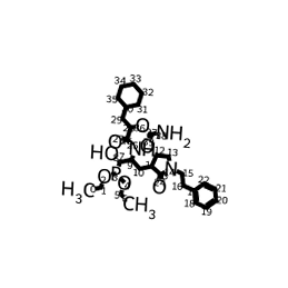 CCOP(OCC)C(O)C(CC1CCN(CCc2ccccc2)C1=O)NC(=O)C(CC1CCCCC1)OC(N)=O